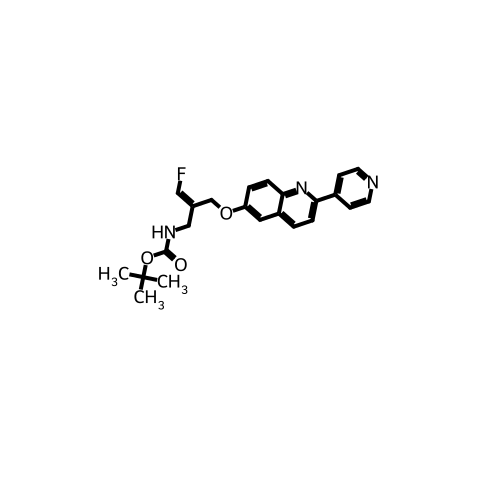 CC(C)(C)OC(=O)NC/C(=C/F)COc1ccc2nc(-c3ccncc3)ccc2c1